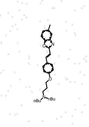 CCCCN(CCCC)CCCOc1ccc(C=Cc2nc3cc(C)ccc3o2)cc1